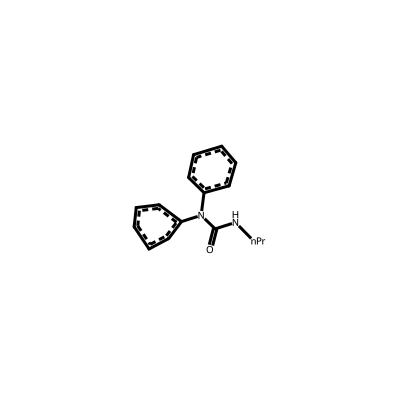 CCCNC(=O)N(c1ccccc1)c1ccccc1